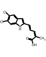 C/C(=C/C=C/c1cc2cc(Cl)c(Cl)cc2[nH]1)C(=O)O